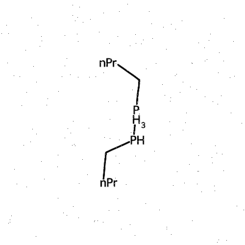 CCCCP[PH3]CCCC